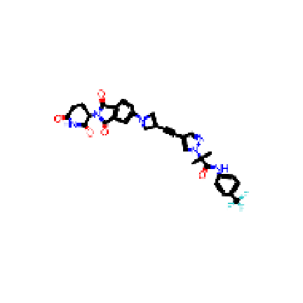 CC(C)(C(=O)Nc1ccc(C(F)(F)F)cc1)n1cc(C#CC2CN(c3ccc4c(c3)C(=O)N(C3CCC(=O)NC3=O)C4=O)C2)cn1